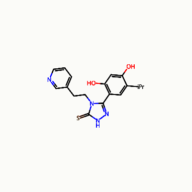 CC(C)c1cc(-c2n[nH]c(=S)n2CCc2cccnc2)c(O)cc1O